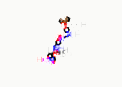 CN(CCCn1c(=O)oc2cc(CNC[C@H](O[Si](C)(C)C(C)(C)C)c3ccc(O)c4[nH]c(=O)ccc34)ccc21)[C@H]1CC[C@H](OC(C(=O)O)(c2cccs2)c2cccs2)CC1